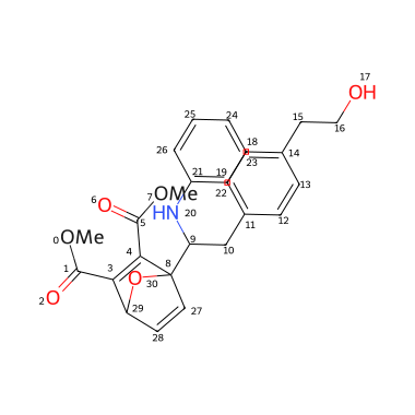 COC(=O)C1=C(C(=O)OC)C2(C(Cc3ccc(CCO)cc3)Nc3ccccc3)C=CC1O2